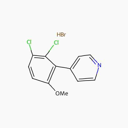 Br.COc1ccc(Cl)c(Cl)c1-c1ccncc1